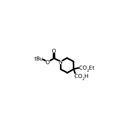 CCOC(=O)C1(C(=O)O)CCN(C(=O)OC(C)(C)C)CC1